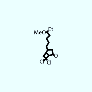 CCC(CCCCC1CC(=O)C2C1CC2(Cl)Cl)OC